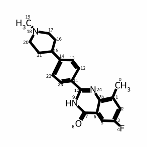 Cc1cc(F)cc2c(=O)[nH]c(-c3ccc(C4CCN(C)CC4)cc3)nc12